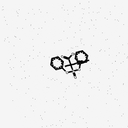 CC#CC(C)(C(=O)O)P(=O)(Oc1ccccc1)Oc1ccccc1